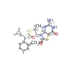 C[C@@H]1S[C@@H](C(c2ccccc2C(=O)O)C2CC2)OC1n1c(=O)sc2c(=O)[nH]c(N)nc21